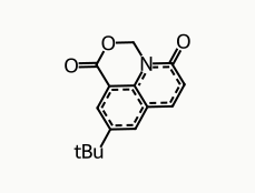 CC(C)(C)c1cc2c3c(ccc(=O)n3COC2=O)c1